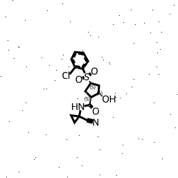 N#CC1(NC(=O)[C@H]2C[C@H](S(=O)(=O)c3ccccc3Cl)C[C@@H]2O)CC1